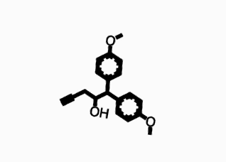 C#CCC(O)C(c1ccc(OC)cc1)c1ccc(OC)cc1